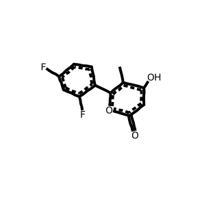 Cc1c(O)cc(=O)oc1-c1ccc(F)cc1F